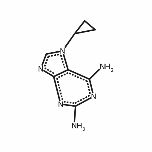 Nc1nc(N)c2c(ncn2C2CC2)n1